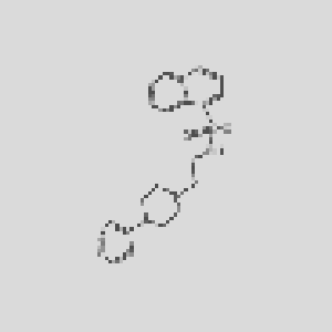 O=S(=O)(NCCN1CCC(c2ccccc2)CC1)c1cccc2ccccc12